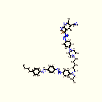 CCCCc1ccc(/N=C/c2ccc(N=Nc3ccc(N(CCC)CCCCCN4CCN(c5ccc(N=Nc6snc7nc(C)c(C#N)cc67)cc5)CC4)cc3)cc2)cc1